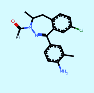 CCC(=O)N1N=C(c2ccc(N)c(C)c2)c2cc(Cl)ccc2CC1C